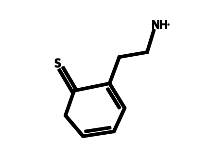 [NH]CCC1=CC=CCC1=S